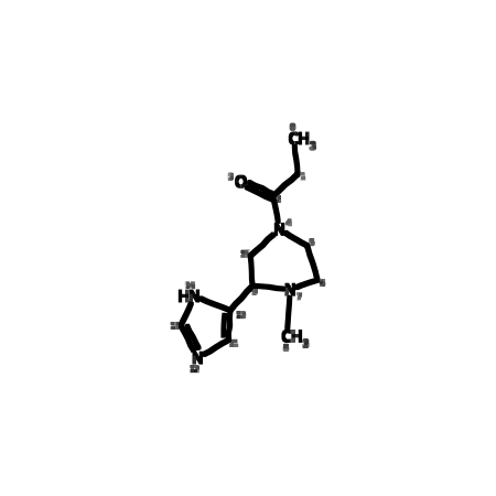 CCC(=O)N1CCN(C)C(c2cnc[nH]2)C1